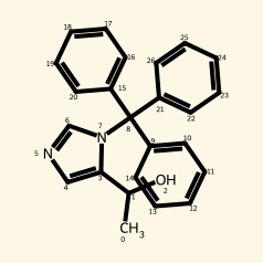 CC(O)c1cncn1C(c1ccccc1)(c1ccccc1)c1ccccc1